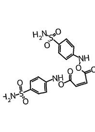 NS(=O)(=O)c1ccc(NOC(=O)/C=C\C(=O)ONc2ccc(S(N)(=O)=O)cc2)cc1